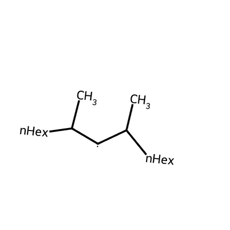 CCCCCCC(C)[CH]C(C)CCCCCC